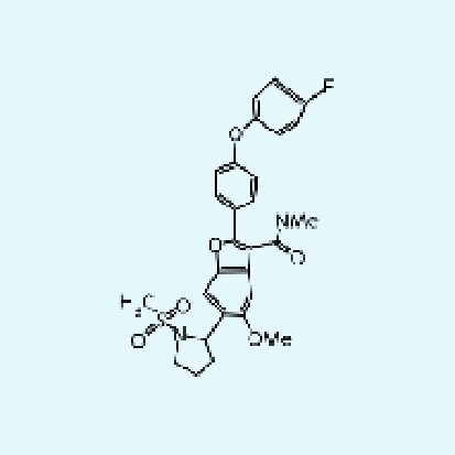 CNC(=O)c1c(-c2ccc(Oc3ccc(F)cc3)cc2)oc2cc(C3CCCN3S(C)(=O)=O)c(OC)cc12